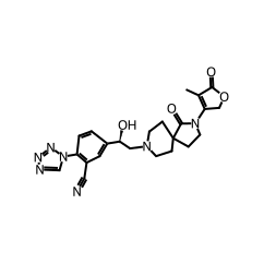 CC1=C(N2CCC3(CCN(C[C@H](O)c4ccc(-n5cnnn5)c(C#N)c4)CC3)C2=O)COC1=O